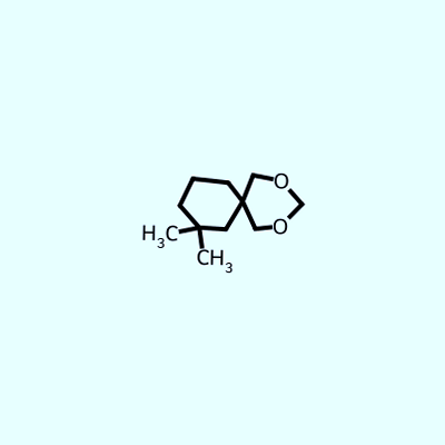 CC1(C)CCCC2(COCOC2)C1